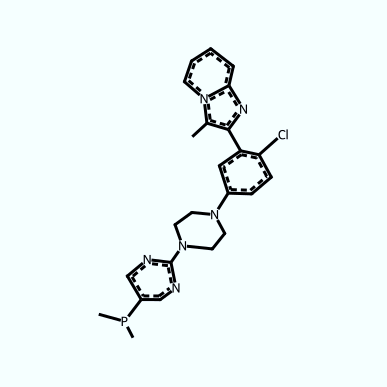 Cc1c(-c2cc(N3CCN(c4ncc(P(C)C)cn4)CC3)ccc2Cl)nc2ccccn12